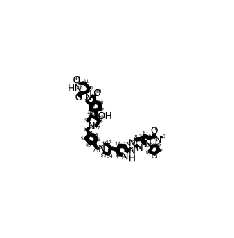 CN(C)C(=O)c1cc2cnc(Nc3ccc(C4CCN(Cc5ccc(CN6CCC(O)(c7ccc8c(c7)CN(C7CCC(=O)NC7=O)C8=O)CC6)cc5)CC4)cn3)nc2n1C1CCCC1